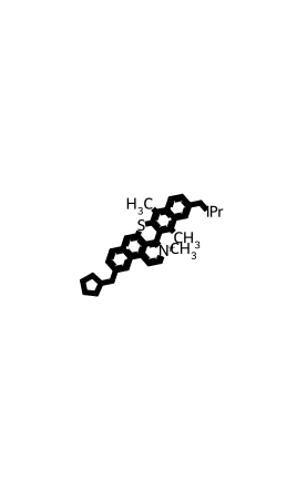 Cc1c2c(c(C)c3cc(CC(C)C)ccc13)-c1c3c(cc4ccc(CC5CCCC5)cc4c3cc[n+]1C)S2